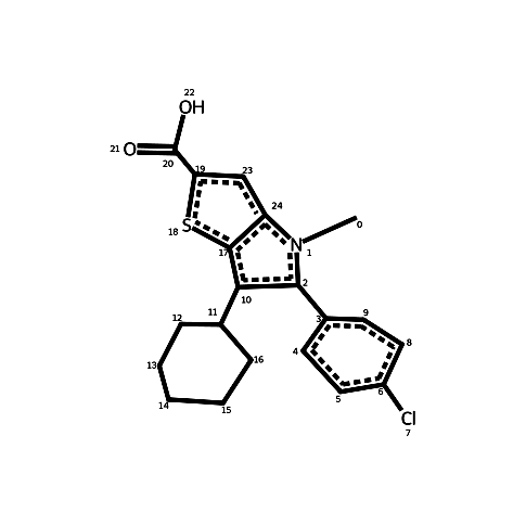 Cn1c(-c2ccc(Cl)cc2)c(C2CCCCC2)c2sc(C(=O)O)cc21